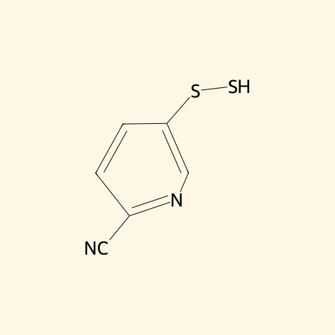 N#Cc1ccc(SS)cn1